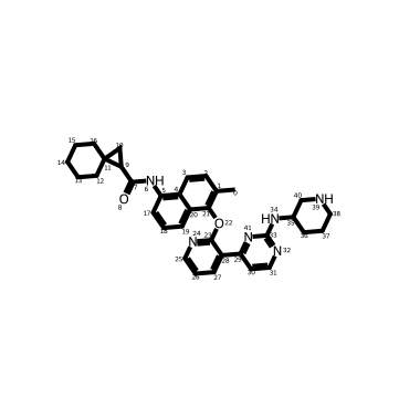 Cc1ccc2c(NC(=O)C3CC34CCCCC4)cccc2c1Oc1ncccc1-c1ccnc(NC2CCCNC2)n1